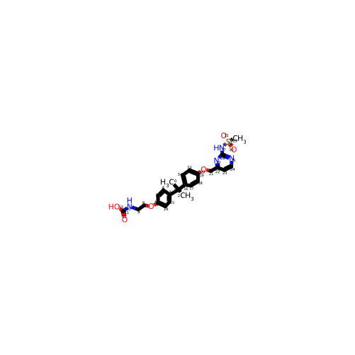 CC(C)(c1ccc(OCCNC(=O)O)cc1)c1ccc(OCc2ccnc(NS(C)(=O)=O)n2)cc1